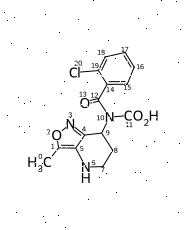 Cc1onc2c1NCCC2N(C(=O)O)C(=O)c1ccccc1Cl